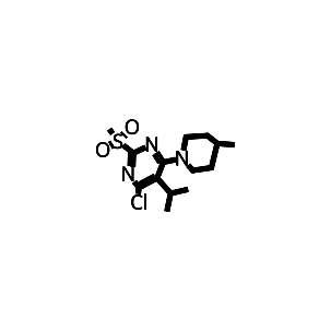 CC1CCN(c2nc(S(C)(=O)=O)nc(Cl)c2C(C)C)CC1